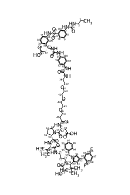 CCCNC(=O)Nc1cccc(S(=O)(=O)Nc2cccc([C@@H](CC(=O)O)NC(=O)Nc3ccc(NC(=O)NCCOCCOCCOCCC(=O)N[C@@H](CC(=O)O)C(=O)N4CCC[C@H]4C(=O)N[C@H](C(=O)NCCCN(C(=O)CO)[C@@H](c4cc(-c5cc(F)ccc5F)cn4Cc4ccccc4)C(C)(C)C)C(C)C)cc3)c2)c1